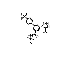 CCC(C)(C)NC(=O)c1cc(-c2ccc(C(F)(F)F)cc2)cc(-n2nnnc2C(C)C)c1